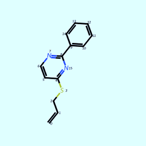 C=CCSc1ccnc(-c2ccccc2)n1